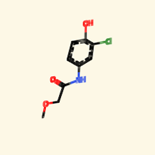 COCC(=O)Nc1ccc(O)c(Cl)c1